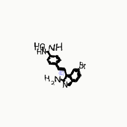 N=C(NO)c1ccc(/C=C/c2c(N)ncc3ccc(Br)cc23)cc1